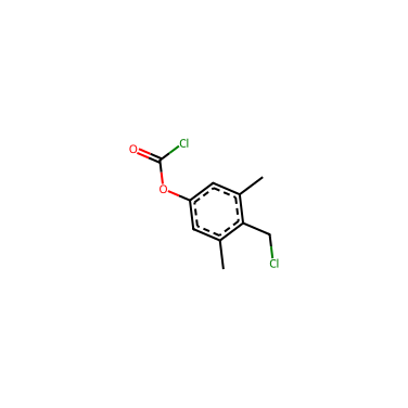 Cc1cc(OC(=O)Cl)cc(C)c1CCl